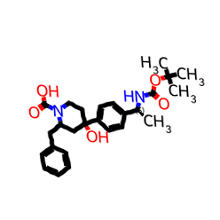 C[C@H](NC(=O)OC(C)(C)C)c1ccc(C2(O)CCN(C(=O)O)C(Cc3ccccc3)C2)cc1